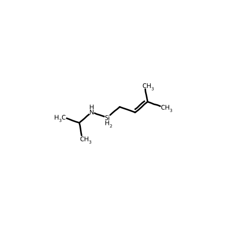 CC(C)=CC[SiH2]NC(C)C